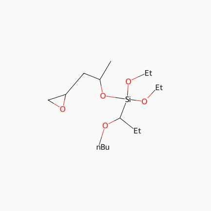 CCCCOC(CC)[Si](OCC)(OCC)OC(C)CC1CO1